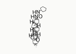 C[C@@H]1CC[C@@]2(OC1)O[C@H]1C[C@H]3[C@@H]4CC[C@@H]5C[C@H](NC(=O)NC6CCCCC6)CC[C@]5(C)[C@H]4CC[C@]3(C)[C@H]1[C@@H]2C